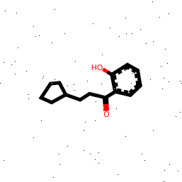 O=C(CCC1CCCC1)c1ccccc1O